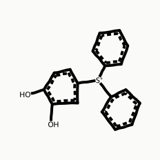 Oc1ccc([S+](c2ccccc2)c2ccccc2)cc1O